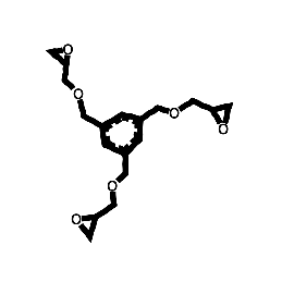 c1c(COCC2CO2)cc(COCC2CO2)cc1COCC1CO1